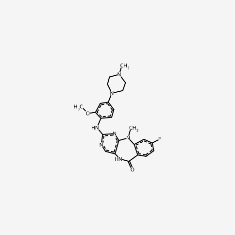 COc1cc(N2CCN(C)CC2)ccc1Nc1ncc2c(n1)N(C)c1cc(F)ccc1C(=O)N2